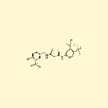 O=C(CC(=O)Nc1ccc(C(F)(F)F)c(C(F)(F)F)c1)NCc1ccc(Cl)c([N+](=O)[O-])c1